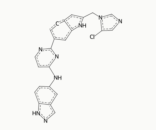 Clc1cncn1Cc1cc2ccc(-c3nccc(Nc4ccc5[nH]ncc5c4)n3)cc2[nH]1